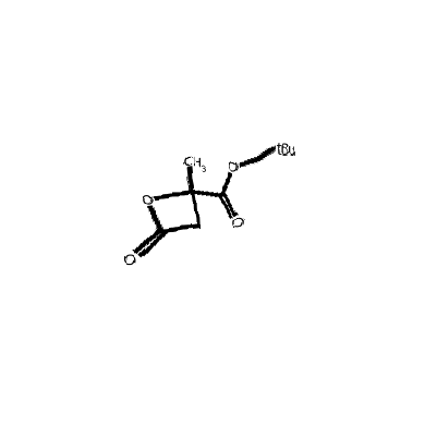 CC(C)(C)OC(=O)C1(C)CC(=O)O1